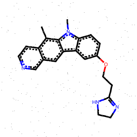 Cc1c2ccncc2cc2c3cc(OCCC4=NCCN4)ccc3n(C)c12